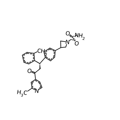 Cc1cc(C(=O)C[C@H](c2ccc(C3CN(S(N)(=O)=O)C3)cc2)c2ccccc2C)ccn1